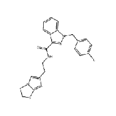 O=C(NCCc1cn2c(n1)SCC2)c1nn(Cc2ccc(Cl)cc2)c2ccccc12